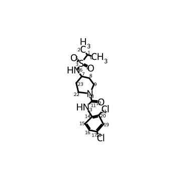 CC(C)S(=O)(=O)NC1CCN(C(=O)Nc2ccc(Cl)cc2Cl)CC1